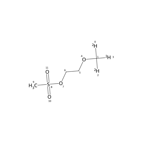 [2H]C([2H])([2H])OCCOS(C)(=O)=O